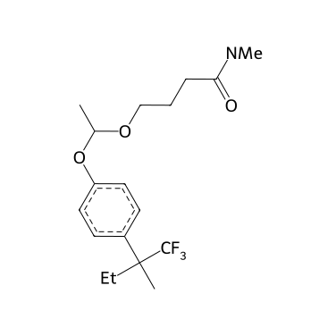 CCC(C)(c1ccc(OC(C)OCCCC(=O)NC)cc1)C(F)(F)F